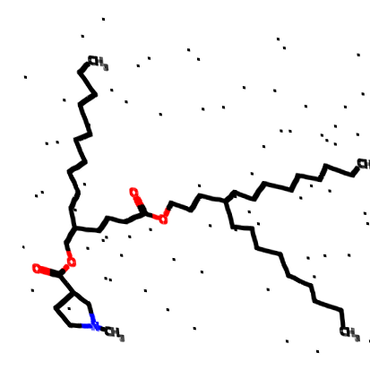 CCCCCCCCCCC(CCCC(=O)OCCCC(CCCCCCCCC)CCCCCCCCC)COC(=O)C1CCN(C)C1